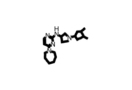 CC1CC(N2CCC(Nc3nccc(N4CCCCCC4)n3)C2)CC1C